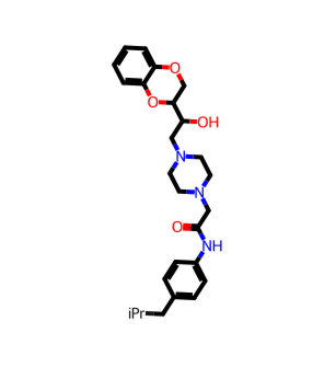 CC(C)Cc1ccc(NC(=O)CN2CCN(CC(O)C3COc4ccccc4O3)CC2)cc1